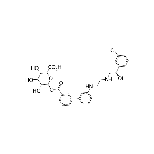 O=C(O[C@@H]1OC(C(=O)O)[C@@H](O)[C@H](O)[C@H]1O)c1cccc(-c2cccc(NCCNC[C@H](O)c3cccc(Cl)c3)c2)c1